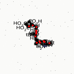 CCC(=O)NCCNC(=O)/N=C(/N)NCCC[C@@H](NC(=O)C(c1ccccc1)c1ccc(NCCCNC(=O)[C@@H](CCC(=O)NCCN(C)CCNC(=O)CN2CCN(CC(=O)O)CCN(CC(=O)O)CCN(CC(=O)O)CC2)NC(=O)OC(C)(C)C)cc1)C(=O)NCc1ccc(O)cc1